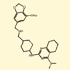 COc1cc(CNCC2CCC(Nc3nc4c(c(N(C)C)n3)CCCC4)CC2)cc2c1OCO2